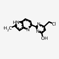 [CH2]c1cc2nc(-c3nc(O)cc(CCl)n3)ccc2[nH]1